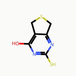 Oc1nc(S)nc2c1CSC2